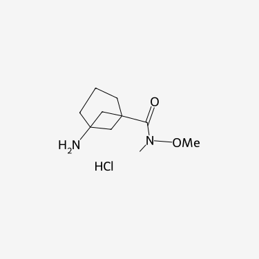 CON(C)C(=O)C12CCCC(N)(C1)C2.Cl